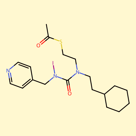 CC(=O)SCCN(CCC1CCCCC1)C(=O)N(I)Cc1ccncc1